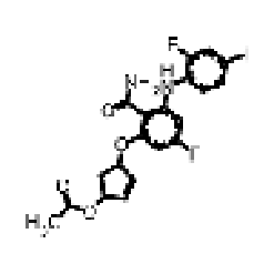 CC(=O)OC1C=CC(Oc2cc(F)cc(Nc3ccc(I)cc3F)c2C(N)=O)C1